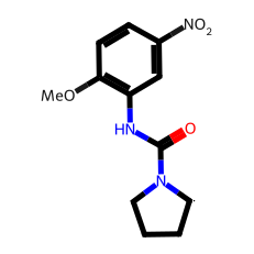 COc1ccc([N+](=O)[O-])cc1NC(=O)N1[CH]CCC1